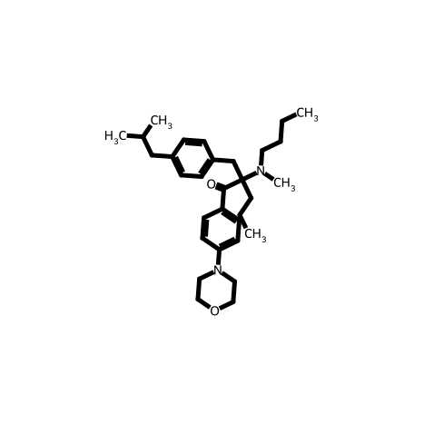 CCCCN(C)C(CCC)(Cc1ccc(CC(C)C)cc1)C(=O)c1ccc(N2CCOCC2)cc1